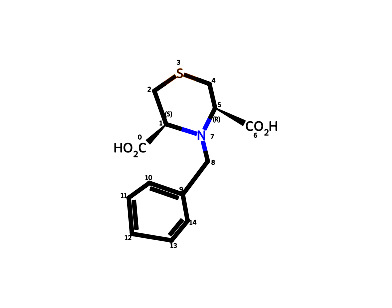 O=C(O)[C@H]1CSC[C@@H](C(=O)O)N1Cc1ccccc1